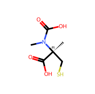 CN(C(=O)O)[C@@](C)(CS)C(=O)O